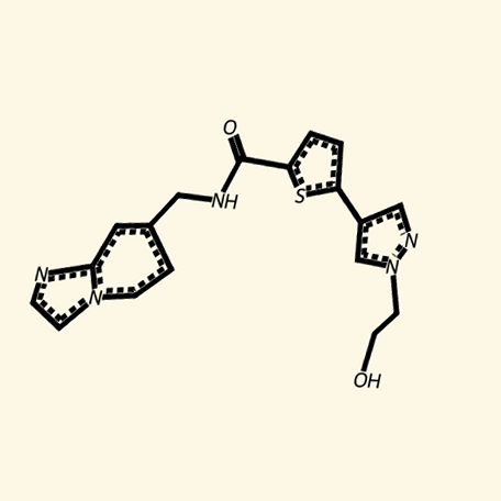 O=C(NCc1ccn2ccnc2c1)c1ccc(-c2cnn(CCO)c2)s1